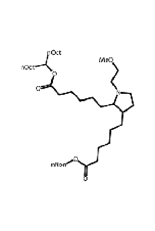 CCCCCCCCCOC(=O)CCCCCC1CCN(CCOC)C1CCCCCC(=O)OC(CCCCCCCC)CCCCCCCC